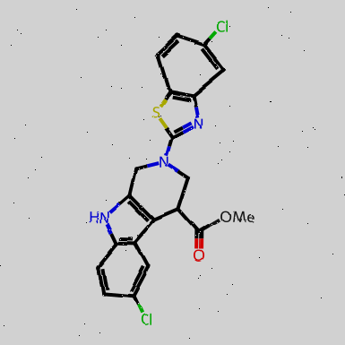 COC(=O)C1CN(c2nc3cc(Cl)ccc3s2)Cc2[nH]c3ccc(Cl)cc3c21